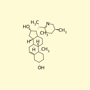 C[C@H]1CCC([C@@H](C)[C@H]2[C@H](O)C[C@H]3[C@@H]4CC=C5C[C@@H](O)CC[C@]5(C)[C@H]4CC[C@]23C)=NC1